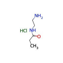 CCC(=O)NCCN.Cl